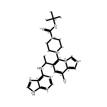 CC(Nc1ncnc2[nH]cnc12)c1cc(Cl)c2cncn2c1N1CCN(C(=O)OC(C)(C)C)CC1